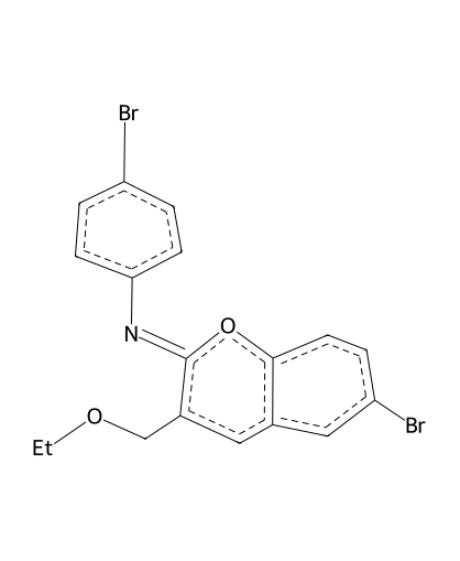 CCOCc1cc2cc(Br)ccc2oc1=Nc1ccc(Br)cc1